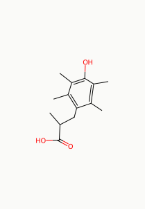 Cc1c(C)c(CC(C)C(=O)O)c(C)c(C)c1O